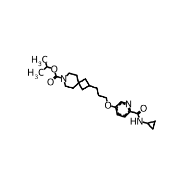 CC(C)OC(=O)N1CCC2(CC1)CC(CCCOc1ccc(C(=O)NC3CC3)nc1)C2